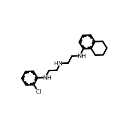 Clc1ccccc1NCCNCCNc1cccc2c1CCCC2